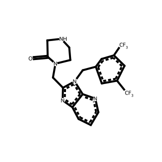 O=C1CNCCN1Cc1nc2cccnc2n1Cc1cc(C(F)(F)F)cc(C(F)(F)F)c1